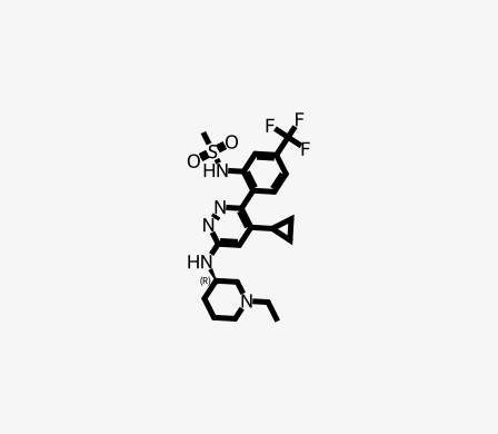 CCN1CCC[C@@H](Nc2cc(C3CC3)c(-c3ccc(C(F)(F)F)cc3NS(C)(=O)=O)nn2)C1